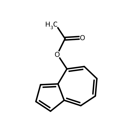 CC(=O)Oc1ccccc2cccc1-2